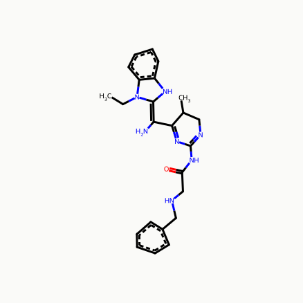 CCN1/C(=C(\N)C2=NC(NC(=O)CNCc3ccccc3)=NCC2C)Nc2ccccc21